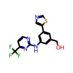 OCc1cc(Nc2nccc(C(F)(F)F)n2)cc(-c2cncs2)c1